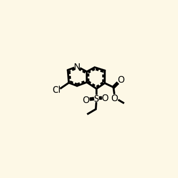 CCS(=O)(=O)c1c(C(=O)OC)ccc2ncc(Cl)cc12